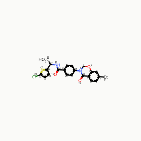 CCc1ccc2c(c1)OCN(c1ccc(C(=O)NC(C(=O)O)c3ccc(Cl)s3)cc1)C2=O